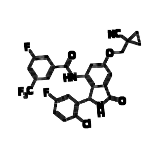 N#CC1(COc2cc(NC(=O)c3cc(F)cc(C(F)(F)F)c3)c3c(c2)C(=O)NC3c2cc(F)ccc2Cl)CC1